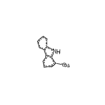 CC(C)(C)c1cccc2c1[nH]c1ccccc12